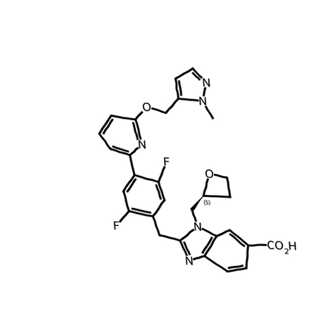 Cn1nccc1COc1cccc(-c2cc(F)c(Cc3nc4ccc(C(=O)O)cc4n3C[C@@H]3CCO3)cc2F)n1